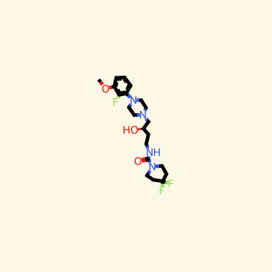 COc1cccc(N2CCN(C[C@H](O)CCNC(=O)N3CCC(F)(F)CC3)CC2)c1F